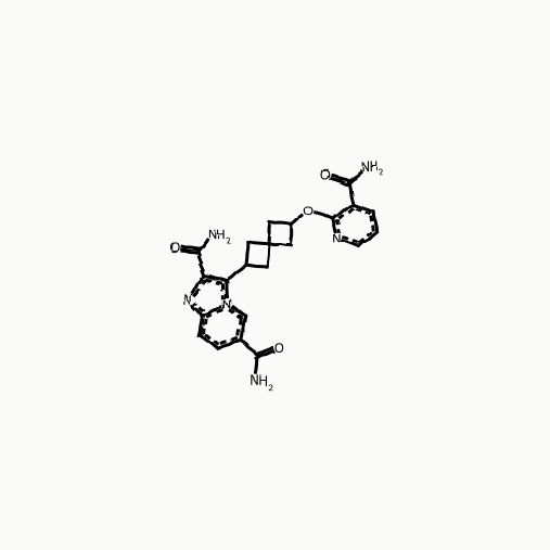 NC(=O)c1ccc2nc(C(N)=O)c(C3CC4(CC(Oc5ncccc5C(N)=O)C4)C3)n2c1